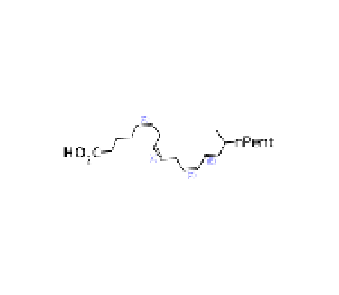 CCCCCC(C)/C=C/C=C\C/C=C\C/C=C\CCCC(=O)O